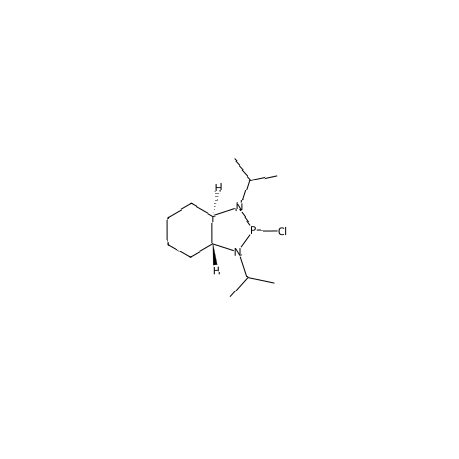 CC(C)N1[C@@H]2CCCC[C@H]2N(C(C)C)P1Cl